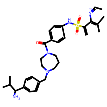 C=C(C(/N=C\C)=C(C)C)S(=O)(=O)Nc1ccc(C(=O)N2CCCN(Cc3ccc(C(N)C(C)C)cc3)CC2)cc1